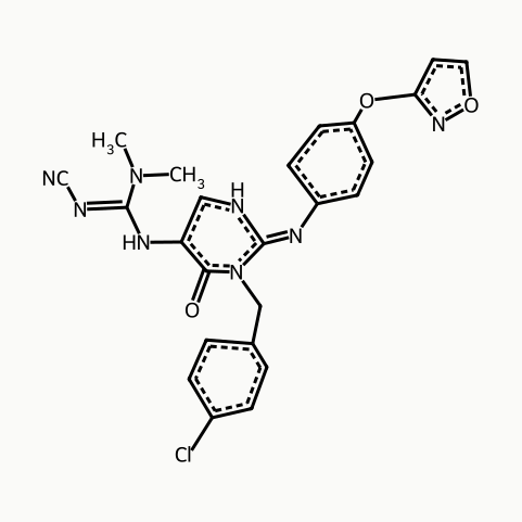 CN(C)/C(=N\C#N)Nc1c[nH]/c(=N\c2ccc(Oc3ccon3)cc2)n(Cc2ccc(Cl)cc2)c1=O